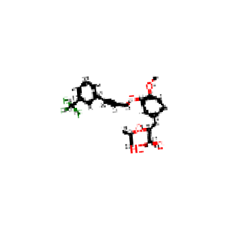 COc1ccc(CC(OC(C)C)C(=O)O)cc1OCC#Cc1cccc(C(F)(F)F)c1